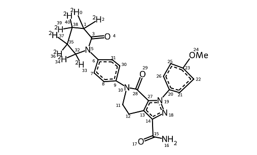 [2H]C1([2H])C(=O)N(c2ccc(N3CCc4c(C(N)=O)nn(-c5ccc(OC)cc5)c4C3=O)cc2)C([2H])([2H])C([2H])([2H])C1([2H])[2H]